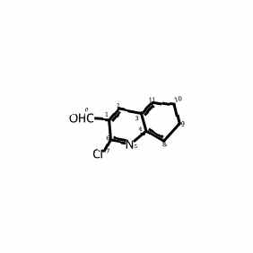 O=Cc1cc2c(nc1Cl)=CCCC=2